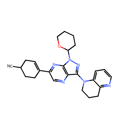 N#CC1CC=C(c2cnc3c(N4CCCc5ncccc54)nn(C4CCCCO4)c3n2)CC1